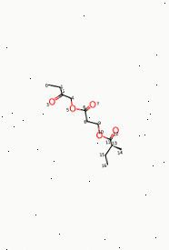 CCC(=O)COC(=O)CCOC(=O)[C@@H](C)CC